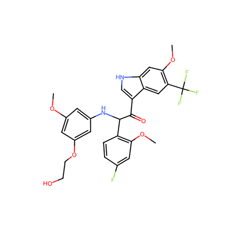 COc1cc(NC(C(=O)c2c[nH]c3cc(OC)c(C(F)(F)F)cc23)c2ccc(F)cc2OC)cc(OCCO)c1